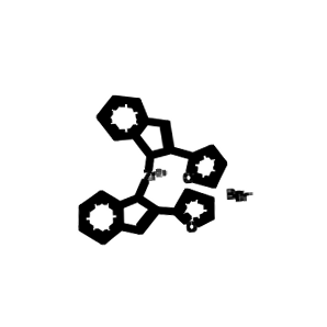 C1=C(c2ccco2)[CH]([Zr+2][CH]2C(c3ccco3)=Cc3ccccc32)c2ccccc21.[Br-].[Br-]